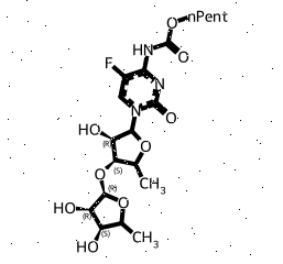 CCCCCOC(=O)Nc1nc(=O)n(C2OC(C)[C@@H](O[C@H]3OC(C)[C@@H](O)[C@H]3O)[C@H]2O)cc1F